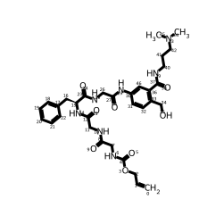 C=CCOC(=O)NCC(=O)NCC(=O)N[C@@H](Cc1ccccc1)C(=O)NCC(=O)Nc1ccc(CO)c(C(=O)NCCCN(C)C)c1